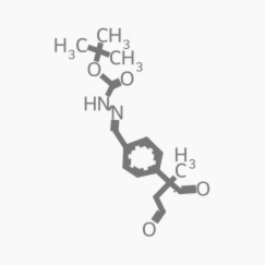 CC(C)(C)OC(=O)NN=Cc1ccc(C(C)([C]=O)CC=O)cc1